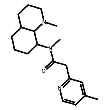 Cc1ccnc(CC(=O)N(C)C2CCCC3CCCN(C)C32)c1